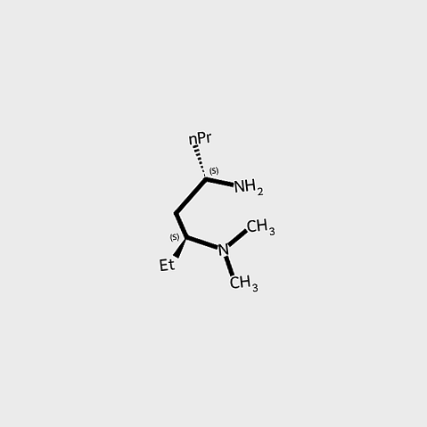 CCC[C@H](N)C[C@H](CC)N(C)C